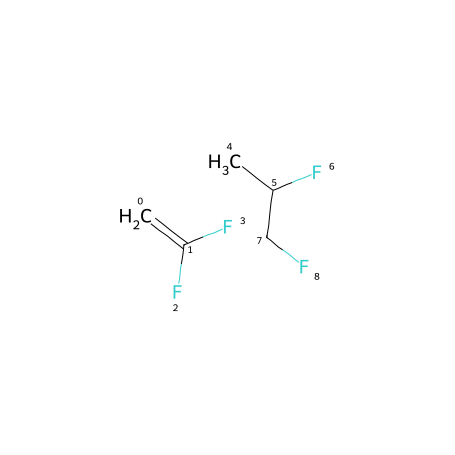 C=C(F)F.CC(F)CF